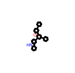 c1ccc(-c2ccc3oc4c(-c5ccc6[nH]c7ccccc7c6c5)cc(-c5ccccc5)cc4c3c2)cc1